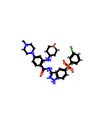 CN1CCN(c2ccc(C(=O)Nc3n[nH]c4ccc(S(=O)(=O)c5cccc(F)c5)cc34)c(NC3CCSCC3)c2)CC1